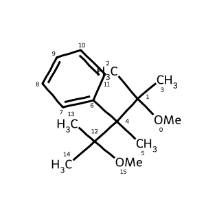 COC(C)(C)C(C)(c1ccccc1)C(C)(C)OC